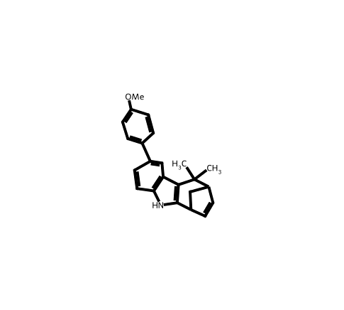 COc1ccc(-c2ccc3[nH]c4c(c3c2)C(C)(C)C2C=CC4C2)cc1